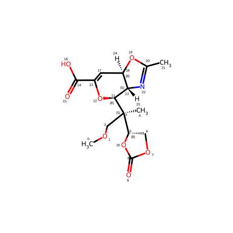 COC[C@](C)([C@@H]1COC(=O)O1)[C@H]1OC(C(=O)O)=C[C@H]2OC(C)=N[C@@H]21